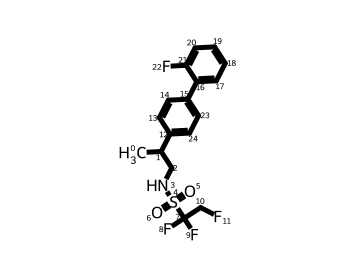 CC(CNS(=O)(=O)C(F)(F)CF)c1ccc(-c2ccccc2F)cc1